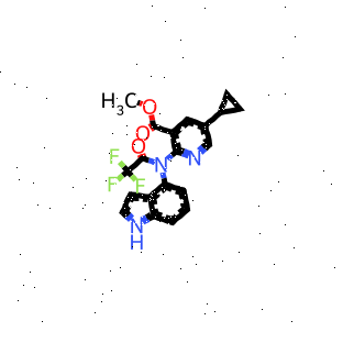 COC(=O)c1cc(C2CC2)cnc1N(C(=O)C(F)(F)F)c1cccc2[nH]ccc12